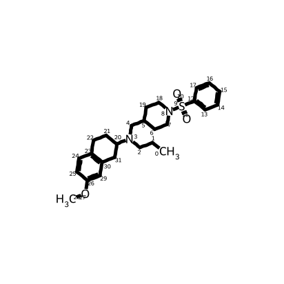 CCCN(CC1CCN(S(=O)(=O)c2ccccc2)CC1)C1CCc2ccc(OC)cc2C1